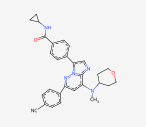 CN(c1cc(-c2ccc(C#N)cc2)nn2c(-c3ccc(C(=O)NC4CC4)cc3)cnc12)C1CCOCC1